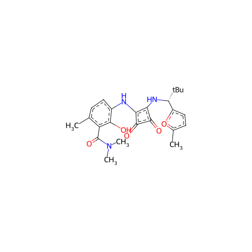 Cc1ccc([C@H](Nc2c(Nc3ccc(C)c(C(=O)N(C)C)c3O)c(=O)c2=O)C(C)(C)C)o1